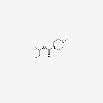 CCCC(C)OC(=O)N1CCN(C)CC1